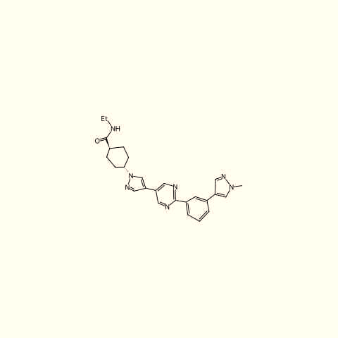 CCNC(=O)[C@H]1CC[C@H](n2cc(-c3cnc(-c4cccc(-c5cnn(C)c5)c4)nc3)cn2)CC1